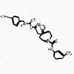 O=C(NCc1ccc(Cl)cc1)OC1=NOC2(CCN(C(=S)Nc3cccc(C(F)(F)F)c3)CC2)C1